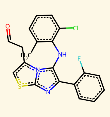 Cc1cccc(Cl)c1Nc1c(-c2ccccc2F)nc2scc(CC=O)n12